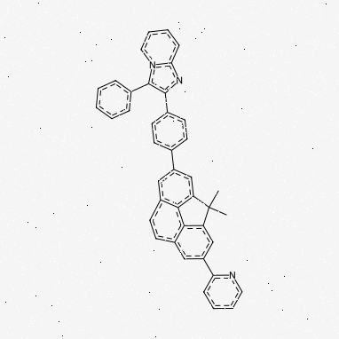 CC1(C)c2cc(-c3ccc(-c4nc5ccccn5c4-c4ccccc4)cc3)cc3ccc4cc(-c5ccccn5)cc1c4c23